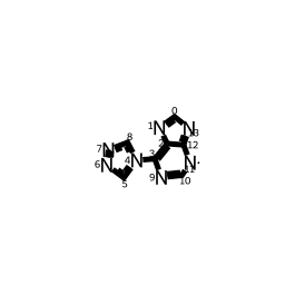 C1=NC2=C(n3cnnc3)N=C[N]C2=N1